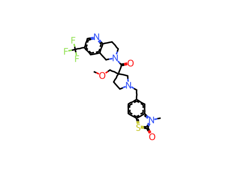 COCC1(C(=O)N2CCc3ncc(C(F)(F)F)cc3C2)CCN(Cc2ccc3sc(=O)n(C)c3c2)C1